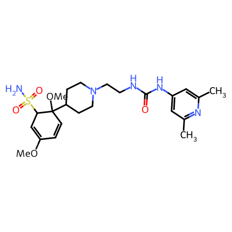 COC1=CC(S(N)(=O)=O)C(OC)(C2CCN(CCNC(=O)Nc3cc(C)nc(C)c3)CC2)C=C1